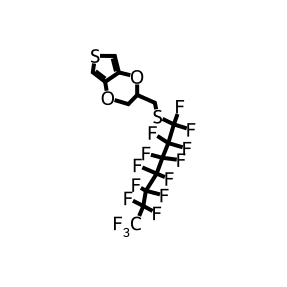 FC(F)(F)C(F)(F)C(F)(F)C(F)(F)C(F)(F)C(F)(F)C(F)(F)SCC1COc2cscc2O1